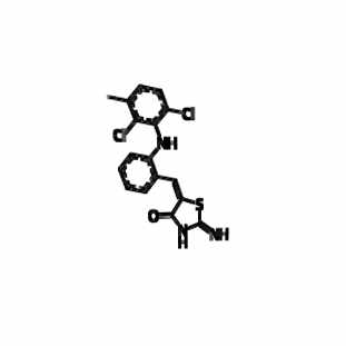 Cc1ccc(Cl)c(Nc2ccccc2C=C2SC(=N)NC2=O)c1Cl